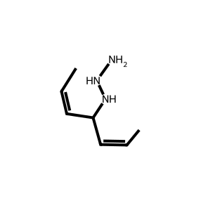 C/C=C\C(/C=C\C)NNN